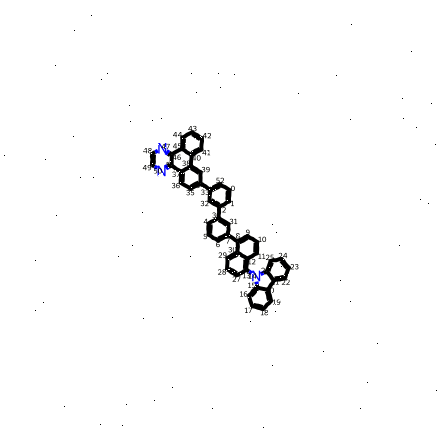 c1cc(-c2cccc(-c3cccc4c(-n5c6ccccc6c6ccccc65)cccc34)c2)cc(-c2ccc3c(c2)c2ccccc2c2nccnc32)c1